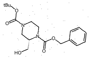 CC(C)(C)OC(=O)N1CCN(C(=O)OCc2ccccc2)[C@H](CO)C1